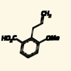 C=CCc1c(OC)cccc1C(=O)O